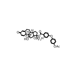 CC(=O)Oc1ccc(Oc2ccc(C(=O)O[C@@]3(C(=O)O)CC[C@H]4[C@@H]5CCC6=CC(=O)C=C[C@]6(C)C5(F)[C@@H](O)C[C@@]43C)cc2)cc1